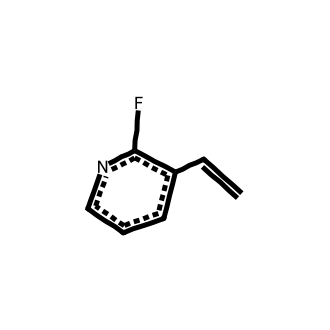 C=Cc1cccnc1F